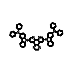 c1ccc(N(c2ccccc2)c2ccc3c(c2)c2ccccc2n3-c2cnc3c(c2)c2nccnc2c2cc(-n4c5ccccc5c5cc(N(c6ccccc6)c6ccccc6)ccc54)cnc23)cc1